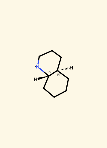 C1CC[C@@H]2[N]CCC[C@H]2C1